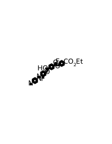 CCOC(=O)c1ccc(OC(=O)c2ccc(C(O)Oc3ccc(/N=N/c4ccc(N(C)C)cc4)c(F)c3)cc2)c(F)c1